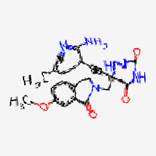 COc1ccc2c(c1)C(=O)N(C[C@@]1(C#Cc3cc(C)cnc3N)NC(=O)NC1=O)C2